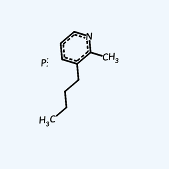 CCCCc1cccnc1C.[P]